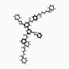 c1ccc(CNc2cc(-c3cc(NCc4ccc(CNCCCNC5CCCCC5)cc4)nc(NCCN4CCOCC4)n3)nc(NCc3cccc4c3CCCC4NCCCNC3CCCCC3)n2)nc1